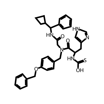 O=C(CN(Cc1ccc(OCc2ccccc2)cc1)C(=O)C(Cc1c[nH]cn1)NC(O)=S)NC(c1ccccc1)C1CCC1